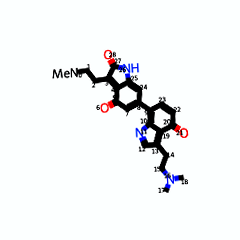 CNCCC1=C2C(=O)C=C(C3=C4N=CC(CCN(C)C)=C4C(=O)C=C3)C=C2NC1=O